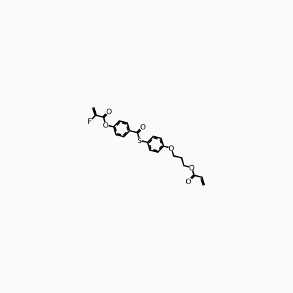 C=CC(=O)OCCCOc1ccc(SC(=O)c2ccc(OC(=O)C(=C)F)cc2)cc1